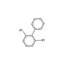 CC(C)c1cccc(C(C)C)c1-c1c[c]ccc1